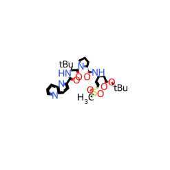 CC(C)(C)OC(=O)C[C@@H](/C=C/S(C)(=O)=O)NC(=O)[C@H]1CCCN1C(=O)[C@@H](NC(=O)c1ccc2ncccc2n1)C(C)(C)C